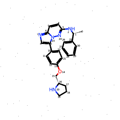 C[C@@H](Nc1ccc2ncc(-c3ccc(OC[C@@H]4CCCN4)cc3)n2n1)c1ccccc1